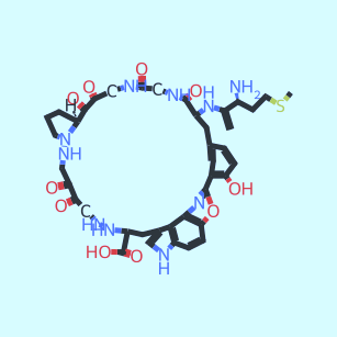 C=C(NC1Cc2ccc(O)c(c2)-c2nc3c(ccc4[nH]cc(c43)CC(C(=O)O)NNCC(=O)C(=O)CNN3CCC[C@H]3C(=O)C(=O)CNC(=O)CNC1=O)o2)[C@@H](N)CCSC